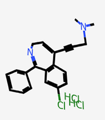 CN(C)CC#CC1=CCN=C(c2ccccc2)c2cc(Cl)ccc21.Cl.Cl